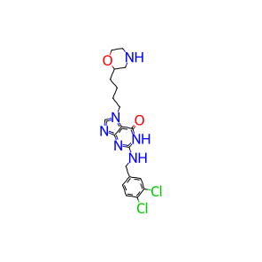 O=c1[nH]c(NCc2ccc(Cl)c(Cl)c2)nc2ncn(CCCCC3CNCCO3)c12